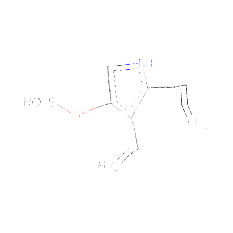 C=Cc1[nH]cc(OS(=O)(=O)O)c1C=C